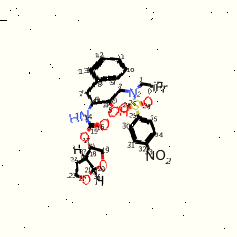 CC(C)CN(C[C@@H](O)[C@H](Cc1ccccc1)NC(=O)O[C@@H]1CO[C@@H]2OCC[C@@H]21)S(=O)(=O)c1ccc([N+](=O)[O-])cc1